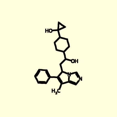 CC1=C(c2ccccc2)C(CC(O)C2CCC(C3(O)CC3)CC2)n2cncc21